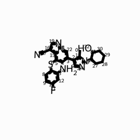 Cc1c(-c2cc(Sc3ccc(F)cc3N)c3c(C#N)cnn3c2)cnn1[C@@H]1CCCC[C@H]1O